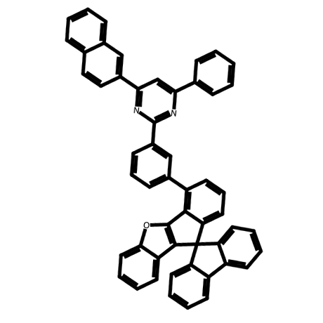 c1ccc(-c2cc(-c3ccc4ccccc4c3)nc(-c3cccc(-c4cccc5c4-c4oc6ccccc6c4C54c5ccccc5-c5ccccc54)c3)n2)cc1